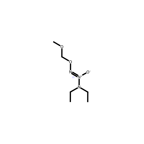 CCN(CC)/[N+]([O-])=N/OCOC